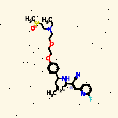 C=C(NC(CCC)c1ccc(OCCOCCN(CC)CC[S+](C)[O-])cc1)/C(C#N)=C/c1cccc(F)n1